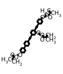 C=C(C)C(=O)OCOc1ccc(C#Cc2ccc(C#Cc3ccc(-c4ccc(OCOC(=O)C(=C)C)cc4)cc3)cc2OCOC(=O)C(=C)C)cc1